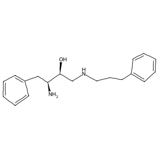 N[C@@H](Cc1ccccc1)[C@@H](O)CNCCCc1ccccc1